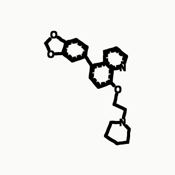 c1cnc2c(OCCN3CCCCC3)ccc(-c3ccc4c(c3)OCO4)c2c1